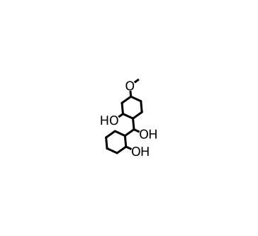 COC1CCC(C(O)C2CCCCC2O)C(O)C1